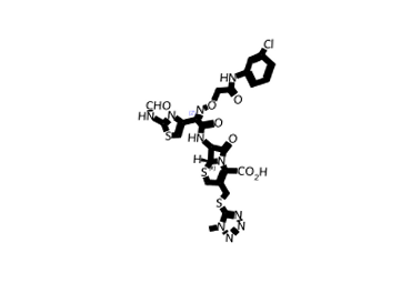 Cn1nnnc1SCC1=C(C(=O)O)N2C(=O)C(NC(=O)/C(=N\OCC(=O)Nc3cccc(Cl)c3)c3csc(NC=O)n3)[C@H]2SC1